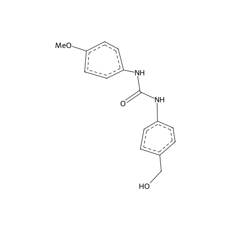 COc1ccc(NC(=O)Nc2ccc(CO)cc2)cc1